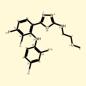 COCCNc1nnc(-c2ccc(F)c(F)c2Nc2ccc(I)cc2F)o1